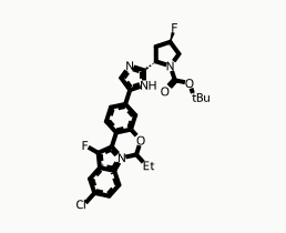 CCC1Oc2cc(-c3cnc([C@@H]4C[C@@H](F)CN4C(=O)OC(C)(C)C)[nH]3)ccc2-c2c(F)c3cc(Cl)ccc3n21